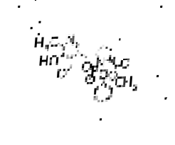 COC(=O)[C@@H]1CCCN1P(=O)(OCc1cnc(C)c(O)c1C=O)Oc1ccccc1